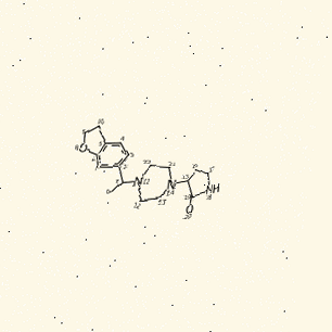 CC(c1ccc2c(c1)OCC2)N1CCN(C2CCNC2=O)CC1